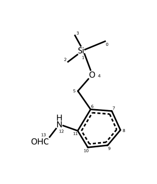 C[Si](C)(C)OCc1ccccc1NC=O